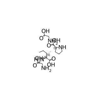 CC[C@H](C)[C@H](N)C(=O)O.NCC(=O)O.NCC(=O)O.O=C(O)[C@@H]1CCCN1